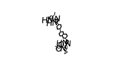 CCC1C[C@@H](C)N[C@@H]1c1ncc(-c2ccc(-c3ccc4cc(-c5cnc([C@@H]6CC7(CC7)CN6C(=O)OC(C)(C)C)[nH]5)ccc4c3)cc2)[nH]1